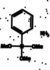 CO[Si](OC)(OC)c1ccccc1.N